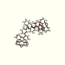 c1ccc(-c2ccc(-c3ccccc3N(c3cccc(-c4cccc5c4-c4ccccc4C54c5ccccc5Oc5ccccc54)c3)c3cccc(-c4cccc5c4-c4ccccc4C54c5ccccc5Oc5ccccc54)c3)cc2)cc1